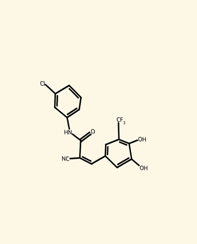 N#CC(=Cc1cc(O)c(O)c(C(F)(F)F)c1)C(=O)Nc1cccc(Cl)c1